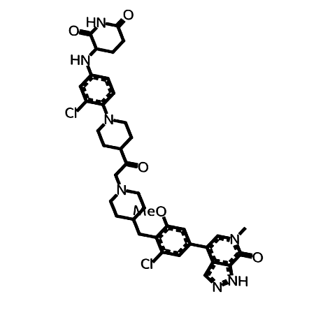 COc1cc(-c2cn(C)c(=O)c3[nH]ncc23)cc(Cl)c1CC1CCN(CC(=O)C2CCN(c3ccc(NC4CCC(=O)NC4=O)cc3Cl)CC2)CC1